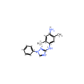 Cc1cc(Nc2ncn(-c3ccccc3)n2)c(C)cc1N